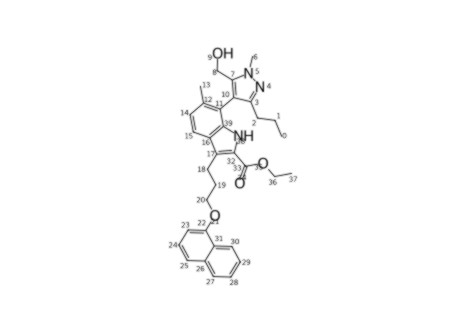 CCCc1nn(C)c(CO)c1-c1c(C)ccc2c(CCCOc3cccc4ccccc34)c(C(=O)OCC)[nH]c12